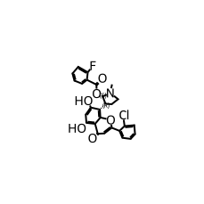 CN1CC[C@H](c2c(O)cc(O)c3c(=O)cc(-c4ccccc4Cl)oc23)[C@@H]1OC(=O)c1ccccc1F